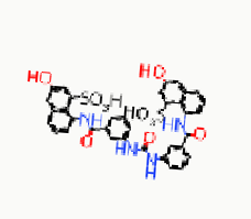 O=C(Nc1cccc(C(=O)Nc2cccc3cc(O)cc(S(=O)(=O)O)c23)c1)Nc1cccc(C(=O)Nc2cccc3cc(O)cc(S(=O)(=O)O)c23)c1